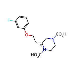 O=C(O)N1CCN(C(=O)O)[C@H](CCOc2cccc(F)c2)C1